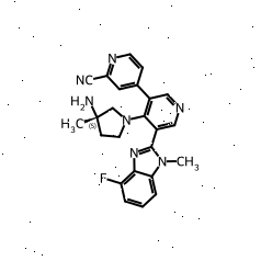 Cn1c(-c2cncc(-c3ccnc(C#N)c3)c2N2CC[C@](C)(N)C2)nc2c(F)cccc21